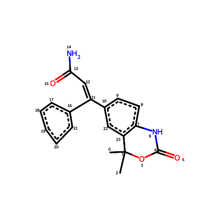 CC1(C)OC(=O)Nc2ccc(C(=CC(N)=O)c3ccccc3)cc21